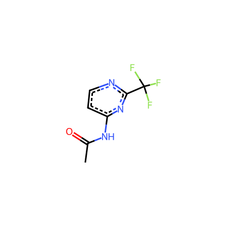 CC(=O)Nc1ccnc(C(F)(F)F)n1